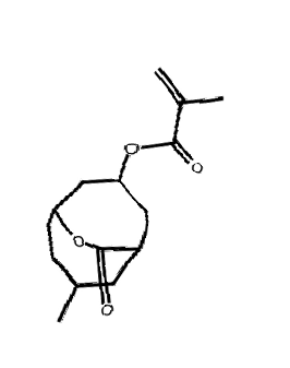 C=C(C)C(=O)OC1CC2CC(C)CC(C1)C(=O)O2